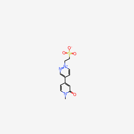 Cn1ccc(-c2cc[n+](CCS(=O)(=O)[O-])nc2)cc1=O